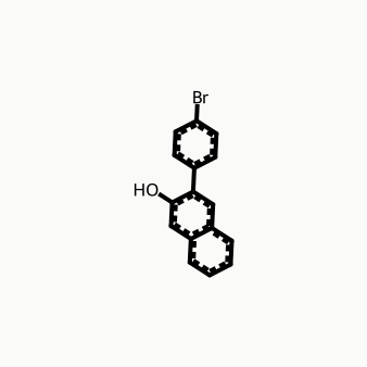 Oc1cc2ccccc2cc1-c1ccc(Br)cc1